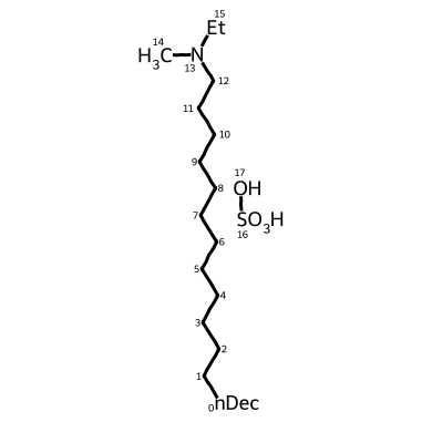 CCCCCCCCCCCCCCCCCCCCCCN(C)CC.O=S(=O)(O)O